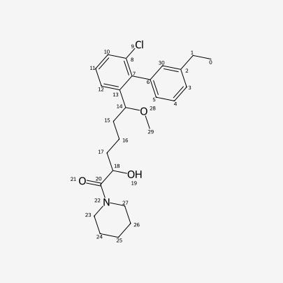 CCc1cccc(-c2c(Cl)cccc2C(CCCC(O)C(=O)N2CCCCC2)OC)c1